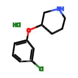 Cl.Clc1cccc(OC2CCCNC2)c1